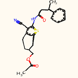 CC(=O)OCC1CCc2c(sc(NC(=O)CC(C)c3ccccc3)c2C#N)C1